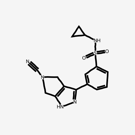 N#CN1Cc2[nH]nc(-c3cccc(S(=O)(=O)NC4CC4)c3)c2C1